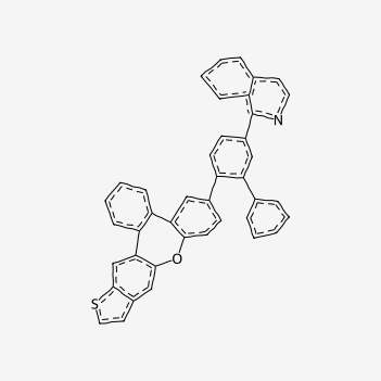 c1ccc(-c2cc(-c3nccc4ccccc34)ccc2-c2ccc3c(c2)-c2ccccc2-c2cc4sccc4cc2O3)cc1